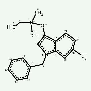 CC[N+](C)(C)Oc1cn(Cc2ccccc2)c2cc(Cl)ccc12